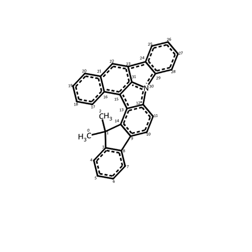 CC1(C)c2ccccc2-c2ccc3c(c21)c1c2ccccc2cc2c4ccccc4n3c21